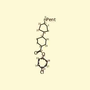 CCCCCC1CCC(C2CCC(C(=O)Oc3ccc(Cl)cc3)CC2)CC1